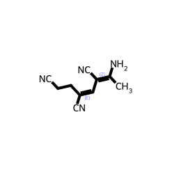 C/C(N)=C(C#N)\C=C(\C#N)CCC#N